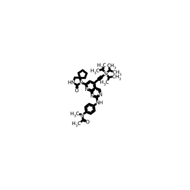 CC(=O)N(C)c1ccc(Nc2ncc3c(C#C[Si](C(C)C)(C(C)C)C(C)C)cc(N4C(=O)NCC45CCCC5)nc3n2)cc1